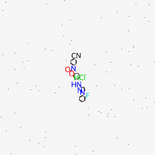 Cl.N#Cc1ccc(N2C[C@]3(CC[C@@H](CNc4ccn(-c5ccccc5F)n4)CC3)OC2=O)cc1